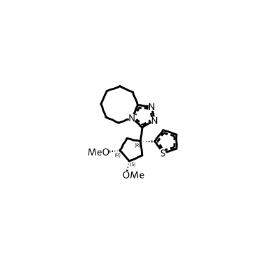 CO[C@H]1C[C@](c2cccs2)(c2nnc3n2CCCCCC3)C[C@H]1OC